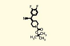 CC(C)(C)OC(=O)N1CCC(=C(C#N)c2ccc(F)c(F)c2)CC1